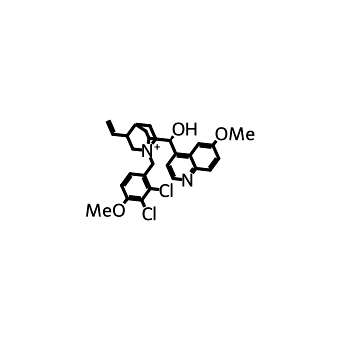 C=CC1C[N+]2(Cc3ccc(OC)c(Cl)c3Cl)CCC1CC2[C@@H](O)c1ccnc2ccc(OC)cc12